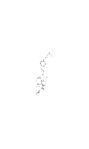 CCN(CC)CCOc1ccc(/C=C/C(=O)O[C@@H]2CC[C@]3(CO3)[C@@H]([C@@]3(C)O[C@@H]3CC=C(C)C)[C@@H]2OC)cc1